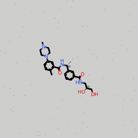 Cc1ccc(N2CCN(C)CC2)cc1C(=O)N[C@H](C)c1cccc(C(=O)NC[C@H](O)CO)c1